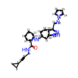 O=C(NCC#CC1CC1)c1ccccc1Nc1ccc2c(C=Nn3cccc3)n[nH]c2c1